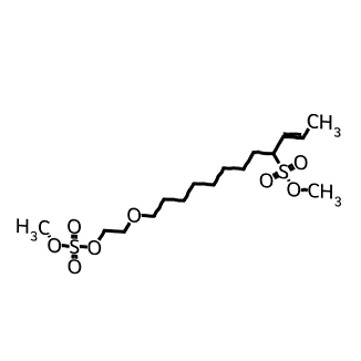 C/C=C/C(CCCCCCCCOCCOS(=O)(=O)OC)S(=O)(=O)OC